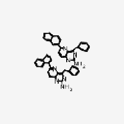 Nc1nc(Cc2ccccc2)c2nc(-c3ccc4ccccc4c3)ccc2n1.Nc1nc(Cc2ccccc2)c2nc(-c3cccc4ccccc34)ccc2n1